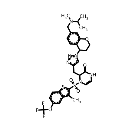 Cc1c(S(=O)(=O)N2C=CNC(=O)C2Cc2cn(C3CCOc4cc(CN(C)C(C)C)ccc43)nn2)sc2ccc(OC(F)(F)F)cc12